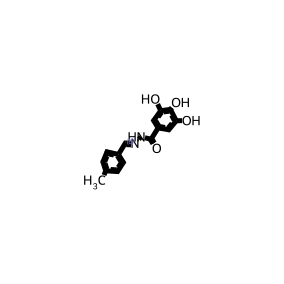 Cc1ccc(/C=N/NC(=O)c2cc(O)c(O)c(O)c2)cc1